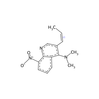 C/C=C\c1cnc2c([N+](=O)[O-])cccc2c1N(C)C